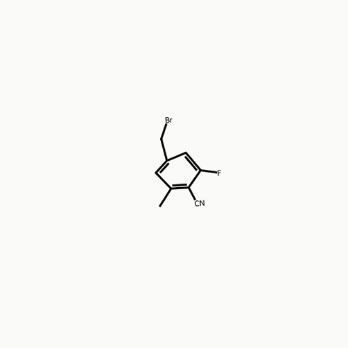 Cc1cc(CBr)cc(F)c1C#N